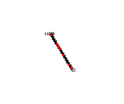 O=C(O)CCCCCCCCCCCCCCCCCCCCCCCCCCCCCCl